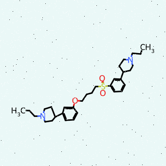 CCCN1CCC(c2cccc(OCCCCS(=O)(=O)c3cccc(C4CCN(CCC)CC4)c3)c2)CC1